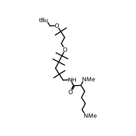 CNCCCCC(NC)C(=O)NCC(C)(C)CC(C)(C)C(C)(C)OCCC(C)(C)OCC(C)(C)C